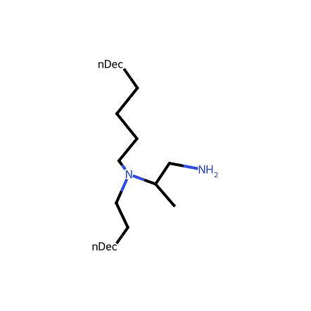 CCCCCCCCCCCCCCN(CCCCCCCCCCCC)C(C)CN